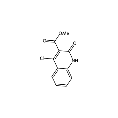 COC(=O)c1c(Cl)c2ccccc2[nH]c1=O